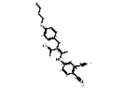 CCCCOc1ccc(C/C(C(C)=N)=C(\C)Nc2ccc(C#N)c(C#N)c2)cc1